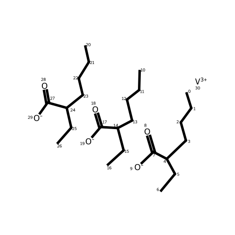 CCCCC(CC)C(=O)[O-].CCCCC(CC)C(=O)[O-].CCCCC(CC)C(=O)[O-].[V+3]